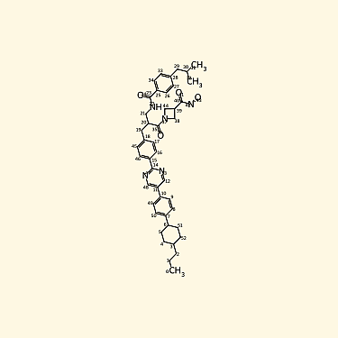 CCCC1CCC(c2ccc(-c3cnc(-c4ccc(CC(CNC(=O)c5ccc(CC(C)C)cc5)C(=O)N5CC(C(=O)N=O)C5)cc4)nc3)cc2)CC1